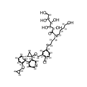 O=C([C@@H](O)[C@@H](O)[C@H](O)[C@@H](O)CO)N(CCCCO)CCCSc1ccc(Cl)c(COC2(c3cnccc3-c3ccccc3OC3CC3)CC2)c1